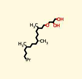 CC(C)CCC[C@@H](C)CCC[C@@H](C)CCCC(C)CCOCC(O)CO